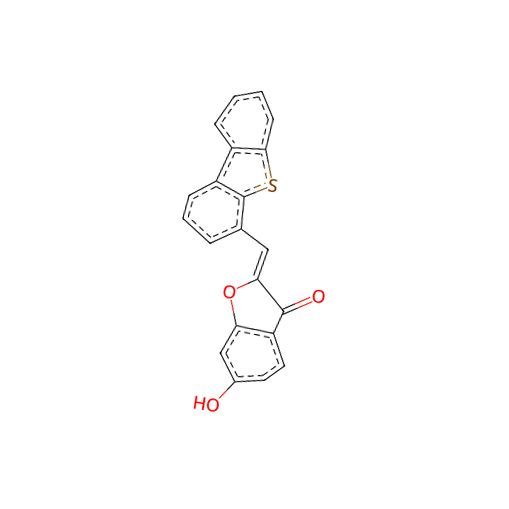 O=C1C(=Cc2cccc3c2sc2ccccc23)Oc2cc(O)ccc21